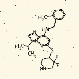 Cc1ccccc1CNc1cc(SC2CCNCC2(F)F)nn2c(C(C)C)cnc12